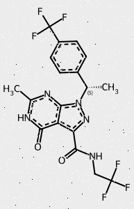 Cc1nc2c(c(C(=O)NCC(F)(F)F)nn2[C@@H](C)c2ccc(C(F)(F)F)cc2)c(=O)[nH]1